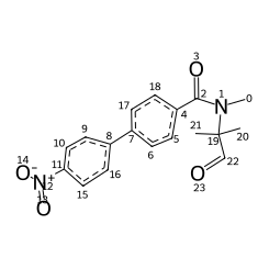 CN(C(=O)c1ccc(-c2ccc([N+](=O)[O-])cc2)cc1)C(C)(C)C=O